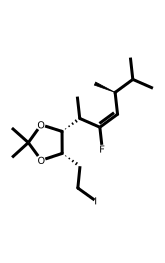 CC(C)[C@H](C)/C=C(/F)C(C)[C@H]1OC(C)(C)O[C@H]1CCI